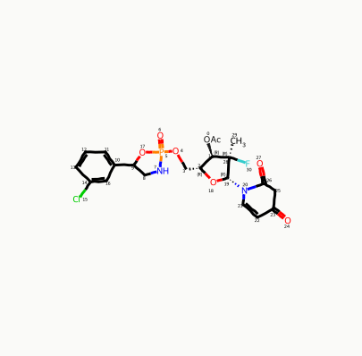 CC(=O)O[C@@H]1[C@@H](COP2(=O)NCC(c3cccc(Cl)c3)O2)O[C@@H](N2C=CC(=O)CC2=O)[C@]1(C)F